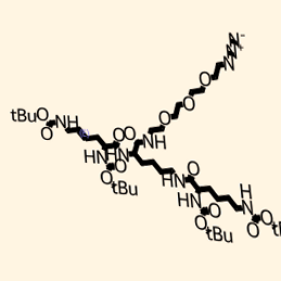 CC(C)(C)OC(=O)NC/C=C/CC(NC(=O)OC(C)(C)C)C(=O)NC(CCCCNC(=O)C(CCCCNC(=O)OC(C)(C)C)NC(=O)OC(C)(C)C)C(=O)NCCOCCOCCOCCN=[N+]=[N-]